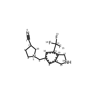 N#CC1CCN(Cc2cc3c(c(C(F)(F)F)c2)CNC3)C1